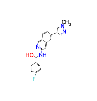 Cn1cc(-c2ccc3cnc(NC(O)c4ccc(F)cc4)cc3c2)cn1